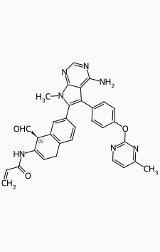 C=CC(=O)NC1=CCc2ccc(-c3c(-c4ccc(Oc5nccc(C)n5)cc4)c4c(N)ncnc4n3C)cc2[C@@H]1C=O